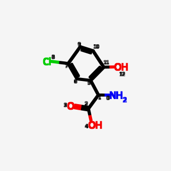 NC(C(=O)O)c1cc(Cl)ccc1O